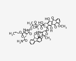 C=CCOC(=O)N[C@@H](CCC(N)=O)C(=O)NOCC(C)(C)C(=O)OCC(=O)[C@]1(O)Cc2c(O)c3c(c(O)c2[C@@H](O[C@H]2C[C@H](NC(=O)OCC4c5ccccc5-c5ccccc54)[C@H](O)[C@H](C)O2)C1)C(=O)c1c(OC)cccc1C3=O